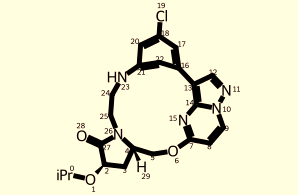 CC(C)O[C@@H]1C[C@H]2COc3ccn4ncc(c4n3)-c3cc(Cl)cc(c3)NCCN2C1=O